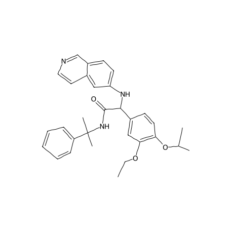 CCOc1cc(C(Nc2ccc3cnccc3c2)C(=O)NC(C)(C)c2ccccc2)ccc1OC(C)C